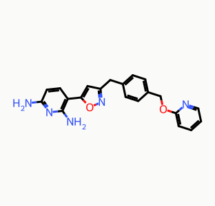 Nc1ccc(-c2cc(Cc3ccc(COc4ccccn4)cc3)no2)c(N)n1